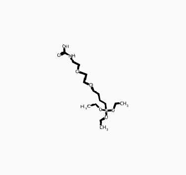 CCO[Si](CCCCOCCOCCNC(=O)O)(OCC)OCC